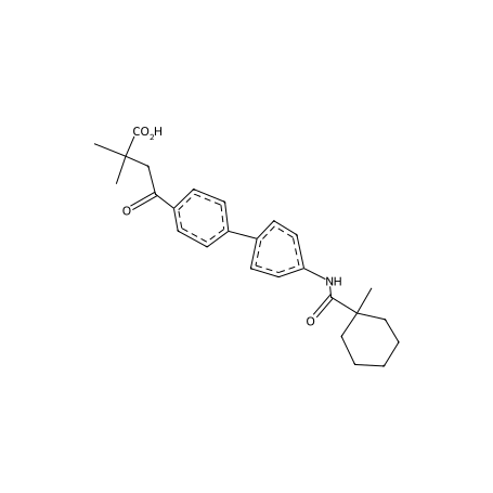 CC(C)(CC(=O)c1ccc(-c2ccc(NC(=O)C3(C)CCCCC3)cc2)cc1)C(=O)O